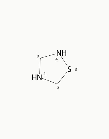 [CH]1NCSN1